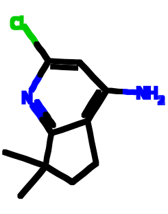 CC1(C)CCc2c(N)cc(Cl)nc21